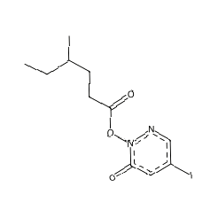 CCC(C)CCC(=O)On1ncc(I)cc1=O